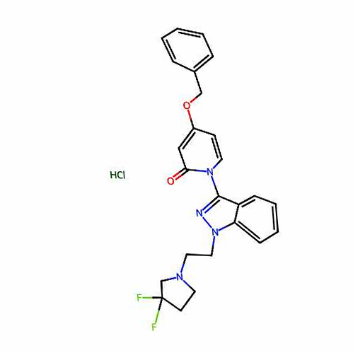 Cl.O=c1cc(OCc2ccccc2)ccn1-c1nn(CCN2CCC(F)(F)C2)c2ccccc12